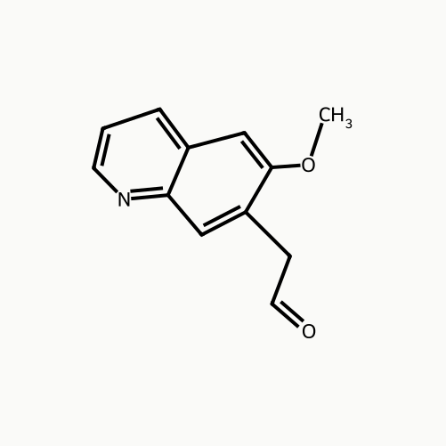 COc1cc2cccnc2cc1CC=O